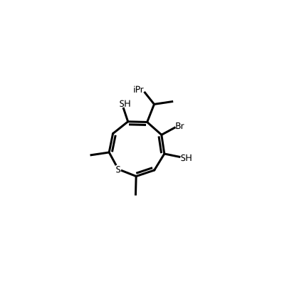 Cc1cc(S)c(Br)c(C(C)C(C)C)c(S)cc(C)s1